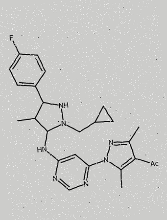 CC(=O)c1c(C)nn(-c2cc(NC3C(C)C(c4ccc(F)cc4)NN3CC3CC3)ncn2)c1C